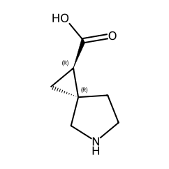 O=C(O)[C@@H]1C[C@@]12CCNC2